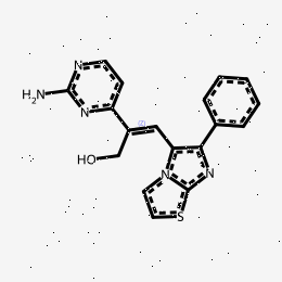 Nc1nccc(/C(=C/c2c(-c3ccccc3)nc3sccn23)CO)n1